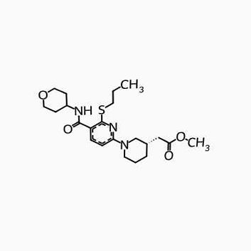 CCCSc1nc(N2CCC[C@@H](CC(=O)OC)C2)ccc1C(=O)NC1CCOCC1